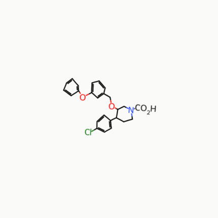 O=C(O)N1CCC(c2ccc(Cl)cc2)C(OCc2cccc(Oc3ccccc3)c2)C1